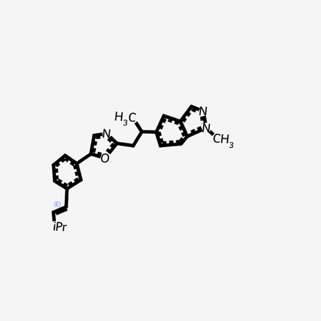 CC(C)/C=C/c1cccc(-c2cnc(CC(C)c3ccc4c(cnn4C)c3)o2)c1